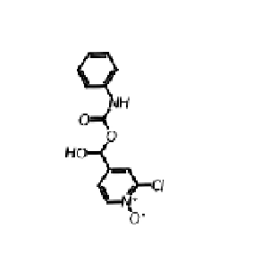 O=C(Nc1ccccc1)OC(O)c1cc[n+]([O-])c(Cl)c1